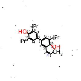 C/C=C\c1cc(-c2cc(C(C)C)c(O)c(C(C)C)c2)cc(C(C)C)c1O